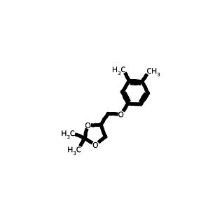 Cc1ccc(OCC2COC(C)(C)O2)cc1C